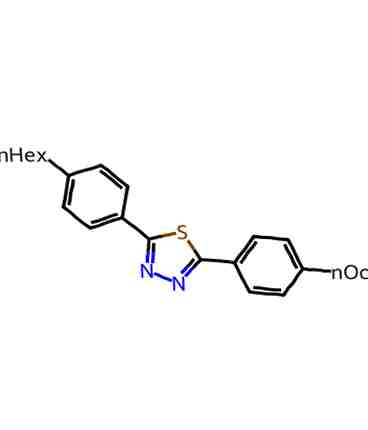 CCCCCCCCc1ccc(-c2nnc(-c3ccc(CCCCCC)cc3)s2)cc1